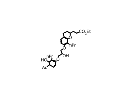 CCCc1c(OCC(O)COc2ccc3c(c2CCC)OC(CCC(=O)OCC)CC3)ccc(C(C)=O)c1O